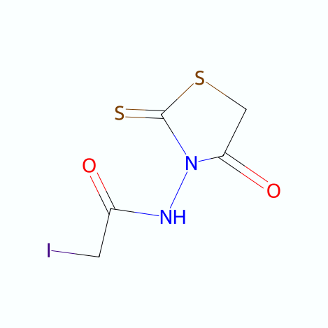 O=C(CI)NN1C(=O)CSC1=S